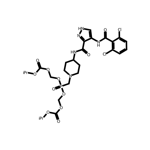 CC(C)OC(=O)OCOP(=O)(CN1CCC(NC(=O)c2n[nH]cc2NC(=O)c2c(Cl)cccc2Cl)CC1)OCOC(=O)OC(C)C